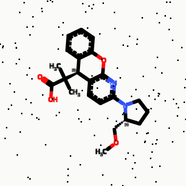 COC[C@H]1CCCN1c1ccc2c(n1)Oc1ccccc1[C@@H]2C(C)(C)C(=O)O